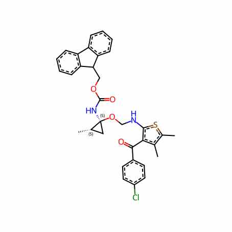 Cc1sc(NCO[C@@]2(NC(=O)OCC3c4ccccc4-c4ccccc43)C[C@@H]2C)c(C(=O)c2ccc(Cl)cc2)c1C